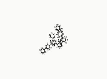 C1=CCC(C2=NC(c3ccc(-c4ccccc4)cc3)=NC(c3cccc4c3oc3c(C5=Cc6oc7ccccc7c6CC5)cccc34)N2)C=C1